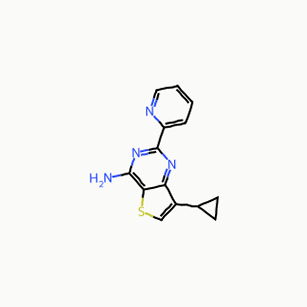 Nc1nc(-c2ccccn2)nc2c(C3CC3)csc12